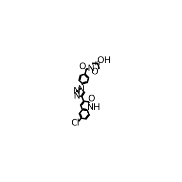 O=C(c1ccc(-n2cc(-c3cc4cc(Cl)ccc4[nH]c3=O)nn2)cc1)N1C[C@H](O)CO1